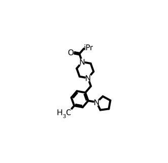 Cc1ccc(CN2CCN(C(=O)C(C)C)CC2)c(N2CCCC2)c1